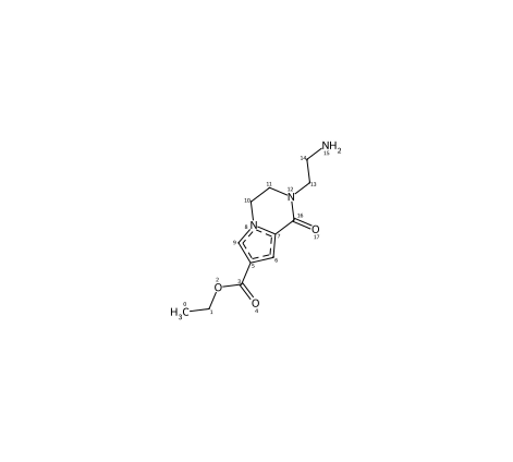 CCOC(=O)c1cc2n(c1)CCN(CCN)C2=O